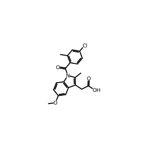 COc1ccc2c(c1)c(CC(=O)O)c(C)n2C(=O)c1ccc(Cl)cc1C